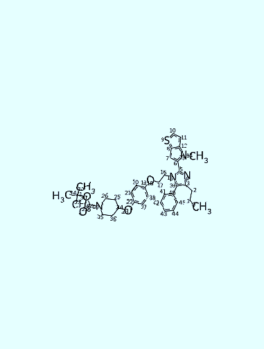 CCCc1nc(-c2cc3sccc3n2C)n(CCOc2ccc(OC3CCN(C(=O)OC(C)(C)C)CC3)cc2)c1-c1ccccc1